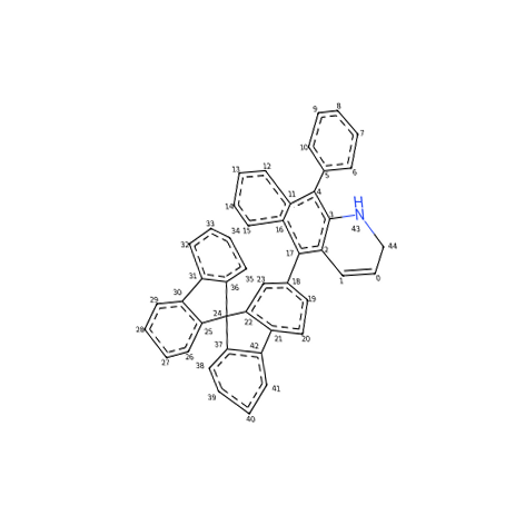 C1=Cc2c(c(-c3ccccc3)c3ccccc3c2-c2ccc3c(c2)C2(c4ccccc4-c4ccccc42)c2ccccc2-3)NC1